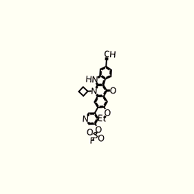 C#Cc1ccc2c(c1)[nH]c1c2c(=O)c2cc(OCC)c(-c3cncc(OS(=O)(=O)F)c3)cc2n1C1CCC1